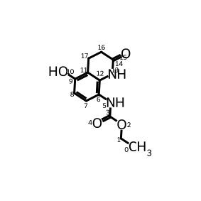 CCOC(=O)Nc1ccc(O)c2c1NC(=O)CC2